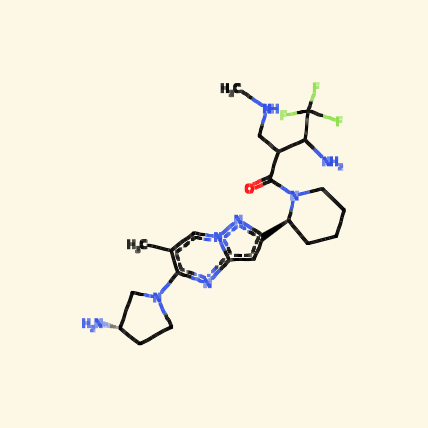 CNCC(C(=O)N1CCCC[C@H]1c1cc2nc(N3CC[C@H](N)C3)c(C)cn2n1)C(N)C(F)(F)F